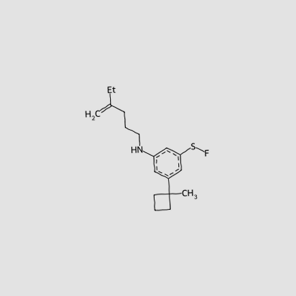 C=C(CC)CCCNc1cc(SF)cc(C2(C)CCC2)c1